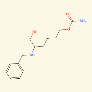 NC(=O)OCCCCC(CO)NCc1ccccc1